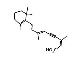 CC(C#CC=C(C)C=CC1=C(C)CCCC1(C)C)=CC(=O)O